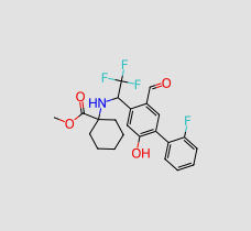 COC(=O)C1(NC(c2cc(O)c(-c3ccccc3F)cc2C=O)C(F)(F)F)CCCCC1